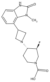 Cn1c(=O)[nH]c2cccc(C3CN([C@H]4CCN(C(=O)O)C[C@@H]4F)C3)c21